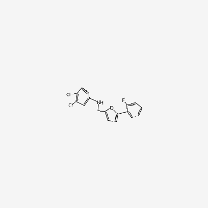 Fc1ccccc1-c1ccc(CNc2ccc(Cl)c(Cl)c2)o1